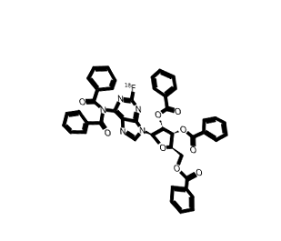 O=C(OC[C@H]1O[C@@H](n2cnc3c(N(C(=O)c4ccccc4)C(=O)c4ccccc4)nc([18F])nc32)[C@H](OC(=O)c2ccccc2)[C@@H]1OC(=O)c1ccccc1)c1ccccc1